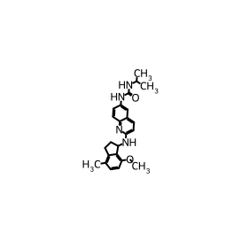 COc1ccc(C)c2c1C(Nc1ccc3cc(NC(=O)NC(C)C)ccc3n1)CC2